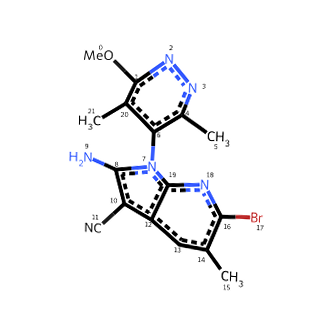 COc1nnc(C)c(-n2c(N)c(C#N)c3cc(C)c(Br)nc32)c1C